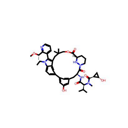 CCn1c(-c2cccnc2[C@H](C)OC)c2c3cc(ccc31)-c1cc(O)cc(c1)C[C@H](NC(=O)[C@H](C(C)C)N(C)C(=O)[C@H]1C[C@@H]1O)C(=O)N1CCC[C@H](N1)C(=O)OCC(C)(C)C2